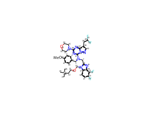 COc1ccc(CN(Cc2nc3c(F)c(F)ccc3n2COCC[Si](C)(C)C)c2nc(N3CCOCC3)nc3c(CC(F)F)cnn23)cc1